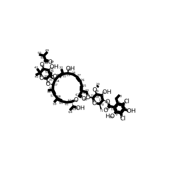 CCc1c(Cl)c(O)c(Cl)c(O)c1C(=O)O[C@H]1[C@H](O)[C@H](OC)[C@H](OCC2=CC=CC[C@H](O)C(C)=C[C@H](CC)[C@@H](O[C@@H]3OC(C)(C)[C@@H](OC(=O)C(C)C)[C@H](O)[C@@H]3O)C(C)=CC(C)=CC[C@@H](C(C)O)OC2=O)O[C@@H]1C